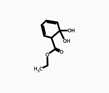 CCOC(=O)C1C=CC=CC1(O)O